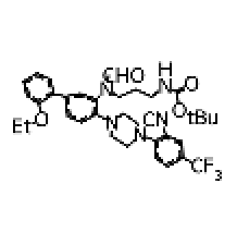 CCOc1ccccc1-c1ccc(N2CCN(c3ccc(C(F)(F)F)cc3C#N)CC2)c(N(C=O)CCCNC(=O)OC(C)(C)C)c1